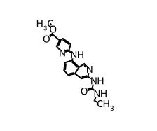 CCNC(=O)Nc1cc2cccc(Nc3ccc(C(=O)OC)cn3)c2cn1